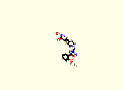 COc1ccccc1-c1nc(CN2CCc3cc(C(=O)NO)sc3C2)no1